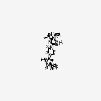 CCCCCCN(C)C(=NC(=N)N1CCN(C(=N)N=C(N(C)CCC)N(C)CCCCCC)CC1)N(C)CCC